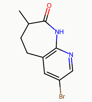 CC1CCc2cc(Br)cnc2NC1=O